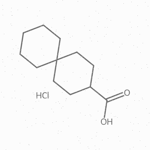 Cl.O=C(O)C1CCC2(CCCCC2)CC1